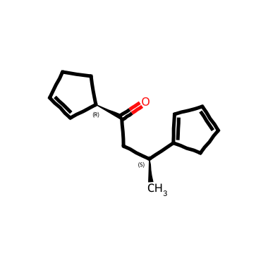 C[C@@H](CC(=O)[C@H]1C=CCC1)C1=CC=CC1